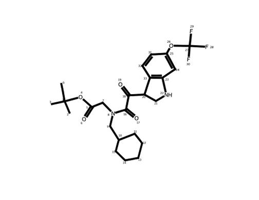 CC(C)(C)OC(=O)CN(CC1CCCCC1)C(=O)C(=O)C1CNc2cc(OC(F)(F)F)ccc21